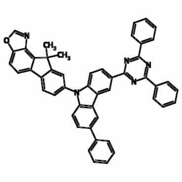 CC1(C)c2cc(-n3c4ccc(-c5ccccc5)cc4c4cc(-c5nc(-c6ccccc6)nc(-c6ccccc6)n5)ccc43)ccc2-c2ccc3ocnc3c21